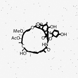 CO[C@H]1/C=C/O[C@@]2(C)Oc3c(C)c(O)c4c(=O)c(c5oc6cc(O)ccc6nc-5c4c3C2=O)NC(=O)/C(C)=C\C=C\[C@H](C)[C@H](O)[C@@H](C)C[C@@H](C)[C@H](OC(C)=O)[C@@H]1C